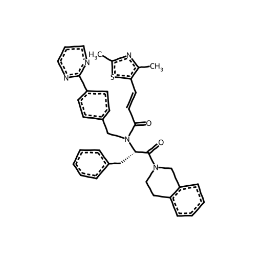 Cc1nc(C)c(C=CC(=O)N(Cc2ccc(-c3ncccn3)cc2)[C@@H](Cc2ccccc2)C(=O)N2CCc3ccccc3C2)s1